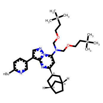 CCCCc1ccc(-c2cnn3c(N(COCC[Si](C)(C)C)COCC[Si](C)(C)C)cc([C@H]4C[C@@H]5CC[C@@H](C5)C4)nc23)cn1